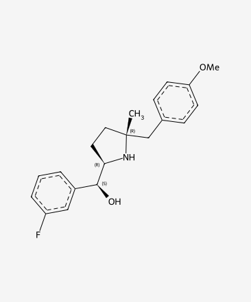 COc1ccc(C[C@@]2(C)CC[C@H]([C@@H](O)c3cccc(F)c3)N2)cc1